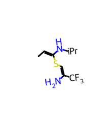 C/C=C(/NC(C)C)S/C=C(\N)C(F)(F)F